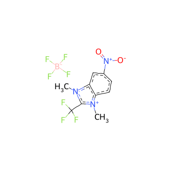 Cn1c(C(F)(F)F)[n+](C)c2ccc([N+](=O)[O-])cc21.F[B-](F)(F)F